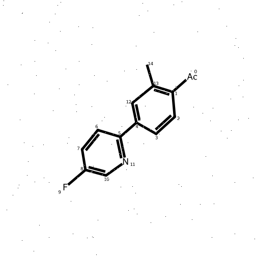 CC(=O)c1ccc(-c2ccc(F)cn2)cc1C